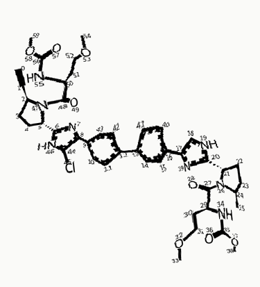 C#C[C@@H]1CC[C@@H](c2nc(-c3ccc(-c4ccc(-c5c[nH]c([C@@H]6CC[C@@H](C)N6C(=O)[C@H](CCOC)NC(=O)OC)n5)cc4)cc3)c(Cl)[nH]2)N1C(=O)[C@H](CCOC)NC(=O)OC